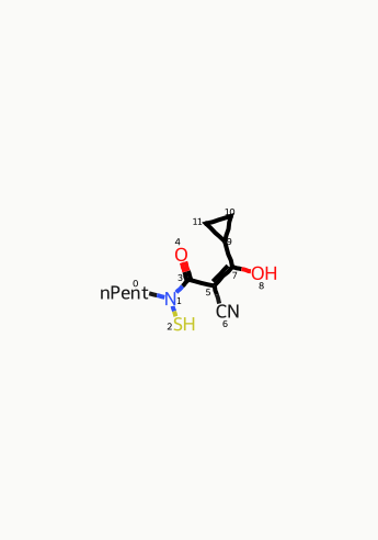 CCCCCN(S)C(=O)C(C#N)=C(O)C1CC1